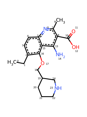 CCc1ccc2nc(C)c(C(=O)O)c(N)c2c1OCC1CCCNC1